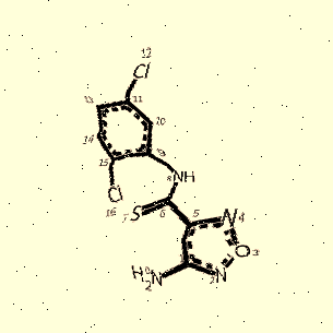 Nc1nonc1C(=S)Nc1cc(Cl)ccc1Cl